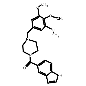 COc1cc(CN2CCN(C(=O)c3ccc4[nH]ccc4c3)CC2)cc(OC)c1OC